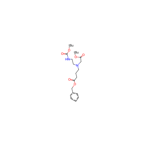 CC(C)(C)OC(=O)CN(CCCC(=O)OCc1ccccc1)CCNC(=O)OC(C)(C)C